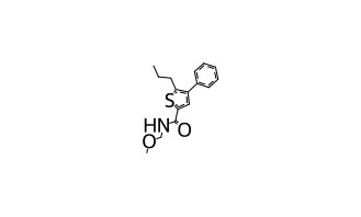 CCCc1sc(C(=O)NCOC)cc1-c1ccccc1